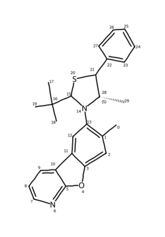 Cc1cc2oc3ncccc3c2cc1N1C(C(C)(C)C)SC(c2ccccc2)[C@@H]1C